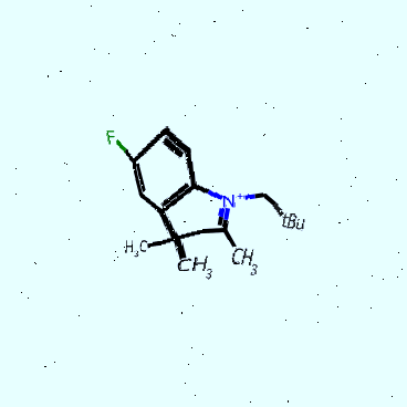 CC1=[N+](CC(C)(C)C)c2ccc(F)cc2C1(C)C